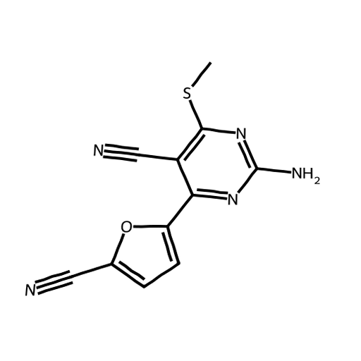 CSc1nc(N)nc(-c2ccc(C#N)o2)c1C#N